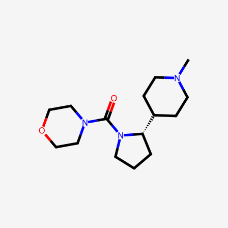 CN1CCC([C@@H]2CCCN2C(=O)N2CCOCC2)CC1